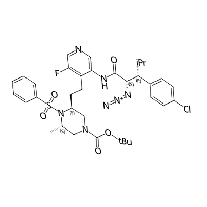 CC(C)[C@H](c1ccc(Cl)cc1)[C@H](N=[N+]=[N-])C(=O)Nc1cncc(F)c1CC[C@H]1CN(C(=O)OC(C)(C)C)C[C@H](C)N1S(=O)(=O)c1ccccc1